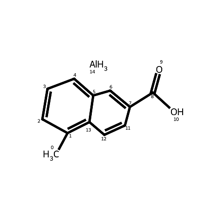 Cc1cccc2cc(C(=O)O)ccc12.[AlH3]